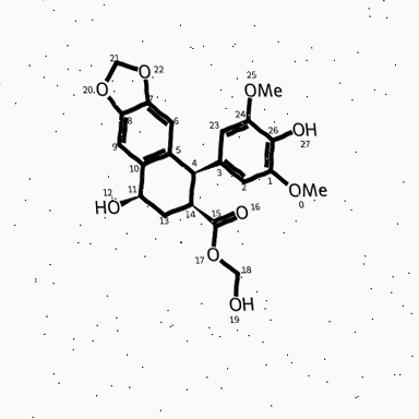 COc1cc([C@@H]2c3cc4c(cc3[C@H](O)C[C@@H]2C(=O)OCO)OCO4)cc(OC)c1O